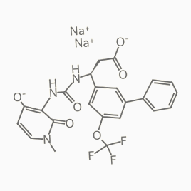 Cn1ccc([O-])c(NC(=O)N[C@@H](CC(=O)[O-])c2cc(OC(F)(F)F)cc(-c3ccccc3)c2)c1=O.[Na+].[Na+]